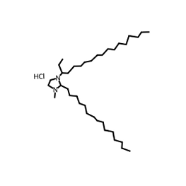 CCCCCCCCCCCCCCCC(CC)N1CCN(C)C1CCCCCCCCCCCCCCC.Cl